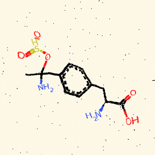 CC(N)(O[SH](=O)=O)c1ccc(C[C@H](N)C(=O)O)cc1